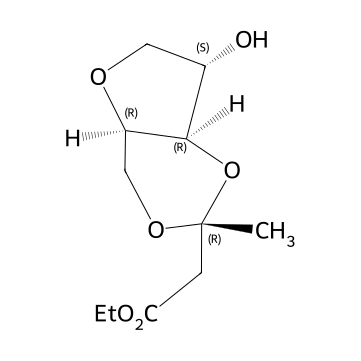 CCOC(=O)C[C@]1(C)OC[C@H]2OC[C@H](O)[C@H]2O1